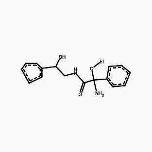 CCOC(N)(C(=O)NCC(O)c1ccccc1)c1ccccc1